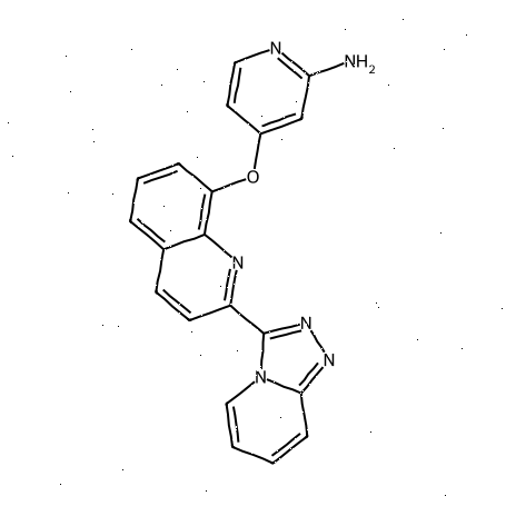 Nc1cc(Oc2cccc3ccc(-c4nnc5ccccn45)nc23)ccn1